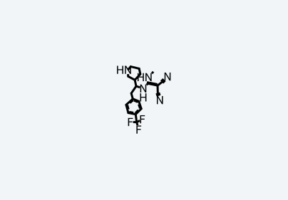 CNC(NC(Cc1ccc(C(F)(F)F)cc1)C1CCCNC1)=C(C#N)C#N